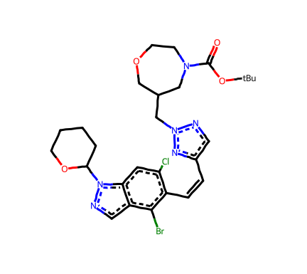 CC(C)(C)OC(=O)N1CCOCC(Cn2ncc(/C=C\c3c(Cl)cc4c(cnn4C4CCCCO4)c3Br)n2)C1